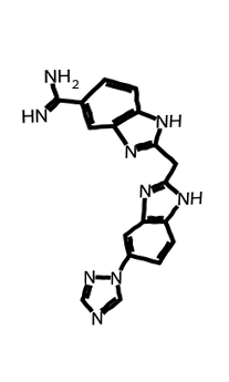 N=C(N)c1ccc2[nH]c(Cc3nc4cc(-n5cncn5)ccc4[nH]3)nc2c1